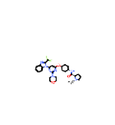 CN1CCC[C@@H]1C(=O)N[C@H]1CC[C@H](Oc2cc(-n3c(C(F)F)nc4ccccc43)nc(N3CCOCC3)n2)CC1